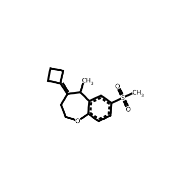 CC1C(=C2CCC2)CCOc2ccc(S(C)(=O)=O)cc21